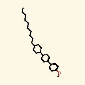 CCCCCCCCCCC1CCC(C2C=CC(c3ccc(OC)cc3)=CC2)CC1